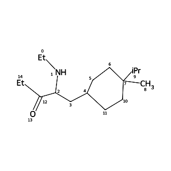 CCNC(CC1CCC(C)(C(C)C)CC1)C(=O)CC